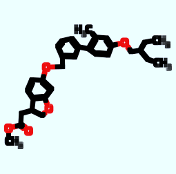 CCC(CC)COc1ccc(-c2cccc(COc3ccc4c(c3)OCC4CC(=O)OC)c2)c(C)c1